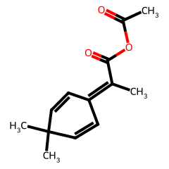 CC(=O)OC(=O)C(C)=C1C=CC(C)(C)C=C1